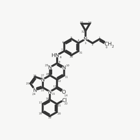 C=CCN(c1ccc(Nc2ncc3c(=O)n(-c4ccccc4Cl)c4nccn4c3n2)cc1)C1CC1